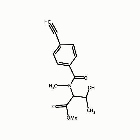 C#Cc1ccc(C(=O)N(C)C(C(=O)OC)C(C)O)cc1